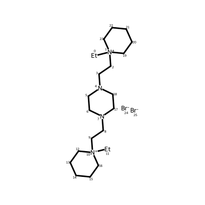 CC[N+]1(CCN2CCN(CC[N+]3(CC)CCCCC3)CC2)CCCCC1.[Br-].[Br-]